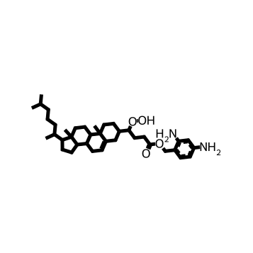 CC(C)CCCC(C)C1CCC2C3CC=C4CC(C(CCC(=O)OCc5ccc(N)cc5N)OO)CCC4(C)C3CCC12C